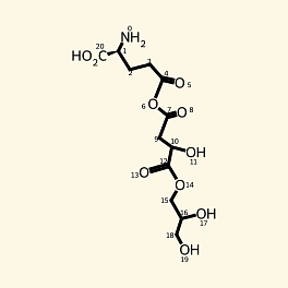 N[C@@H](CCC(=O)OC(=O)CC(O)C(=O)OCC(O)CO)C(=O)O